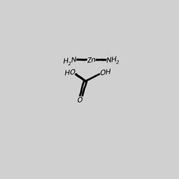 O=C(O)O.[NH2][Zn][NH2]